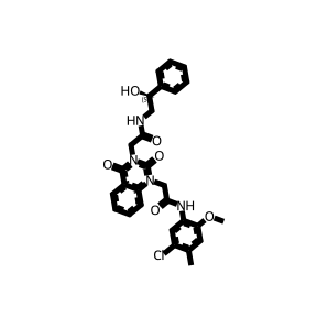 COc1cc(C)c(Cl)cc1NC(=O)Cn1c(=O)n(CC(=O)NC[C@@H](O)c2ccccc2)c(=O)c2ccccc21